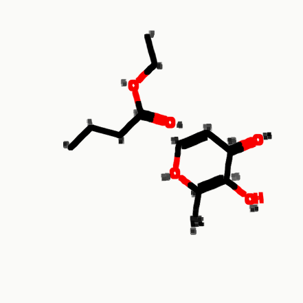 CCCC(=O)OCC.CCc1occc(=O)c1O